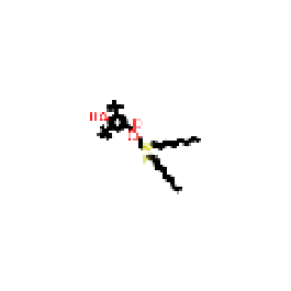 CCCCCCCC[SH](CCCCCCCC)CCOC(=O)c1cc(C(C)(C)C)c(O)c(C(C)(C)C)c1